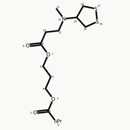 CCCC(=O)OCCCOC(=O)CCN(C)C1CSSC1